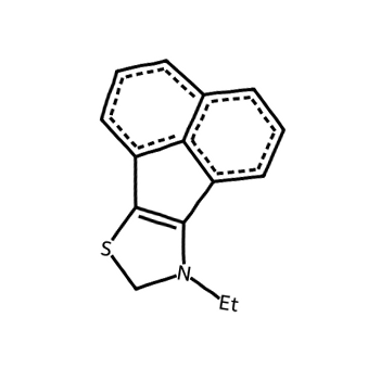 CCN1CSC2=C1c1cccc3cccc2c13